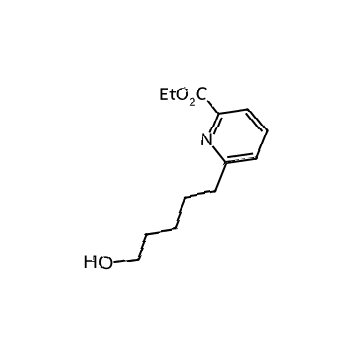 CCOC(=O)c1cccc(CCCCCO)n1